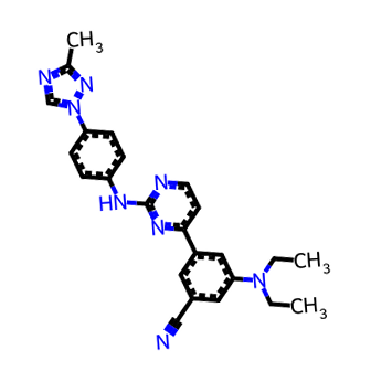 CCN(CC)c1cc(C#N)cc(-c2ccnc(Nc3ccc(-n4cnc(C)n4)cc3)n2)c1